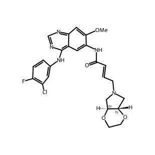 COc1cc2ncnc(Nc3ccc(F)c(Cl)c3)c2cc1NC(=O)C=CCN1C[C@@H]2OCCO[C@H]2C1